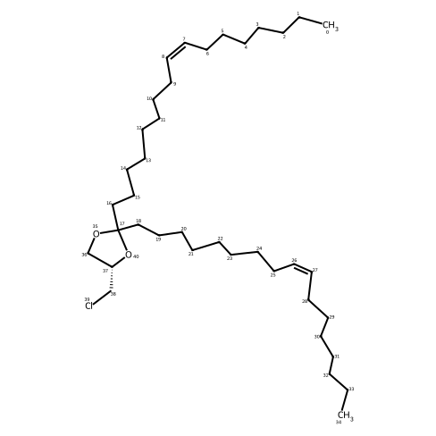 CCCCCCC/C=C\CCCCCCCCC1(CCCCCCCC/C=C\CCCCCCC)OC[C@@H](CCl)O1